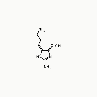 Cl.NCCC=C1NC(N)=NC1=O